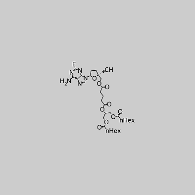 C#C[C@@]1(COC(=O)CCCC(=O)OC(COC(=O)CCCCCC)COC(=O)CCCCCC)CC[C@H](n2cnc3c(N)nc(F)nc32)O1